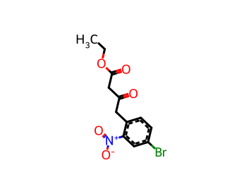 CCOC(=O)CC(=O)Cc1ccc(Br)cc1[N+](=O)[O-]